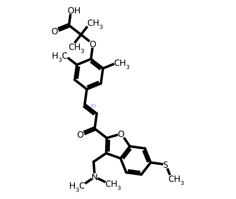 CSc1ccc2c(CN(C)C)c(C(=O)/C=C/c3cc(C)c(OC(C)(C)C(=O)O)c(C)c3)oc2c1